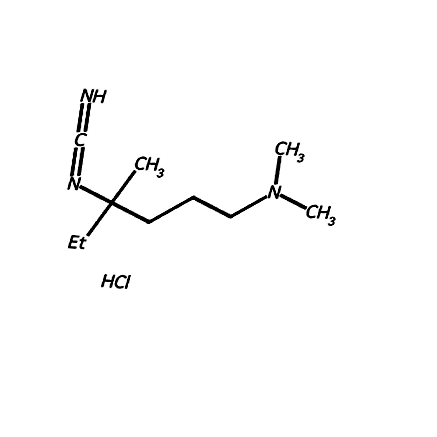 CCC(C)(CCCN(C)C)N=C=N.Cl